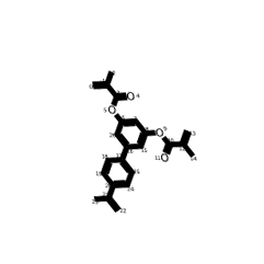 C=C(C)C(=O)Oc1cc(OC(=O)C(=C)C)cc(-c2ccc(C(=C)C)cc2)c1